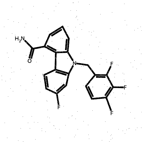 NC(=O)c1cccc2c1c1[c]cc(F)cc1n2Cc1ccc(F)c(F)c1F